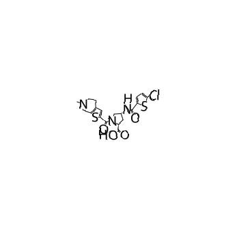 CN1CCc2cc(C(=O)N3C[C@H](NC(=O)c4ccc(Cl)s4)C[C@H]3C(=O)O)sc2C1